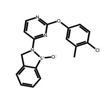 Cc1cc(Oc2nccc(N3Cc4ccccc4[S+]3[O-])n2)ccc1Cl